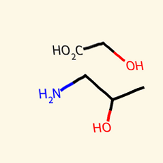 CC(O)CN.O=C(O)CO